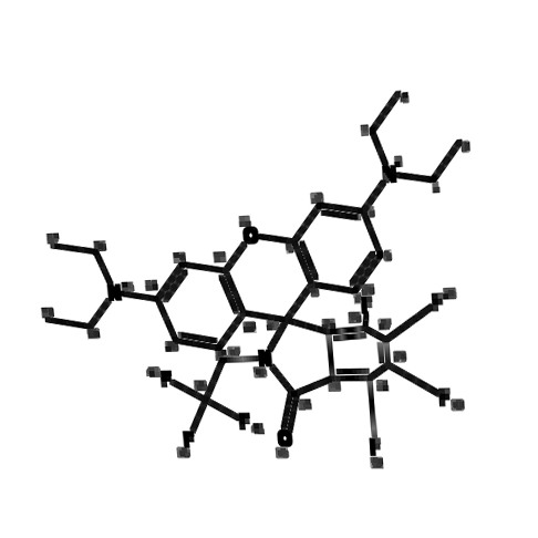 CCN(CC)c1ccc2c(c1)Oc1cc(N(CC)CC)ccc1C21c2c(F)c(F)c(F)c(F)c2C(=O)N1CC(F)(F)F